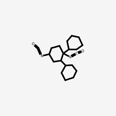 O=C=NC1CCC(N=C=O)(C2CCCCC2)C(C2CCCCC2)C1